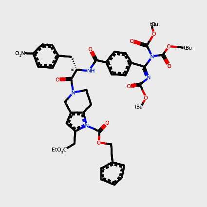 CCOC(=O)Cc1cc2c(n1C(=O)OCc1ccccc1)CCN(C(=O)[C@H](Cc1ccc([N+](=O)[O-])cc1)NC(=O)c1ccc(C(=NC(=O)OC(C)(C)C)N(C(=O)OC(C)(C)C)C(=O)OC(C)(C)C)cc1)C2